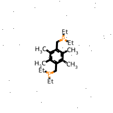 CCP(CC)Cc1c(C)c(C)c(CP(CC)CC)c(C)c1C